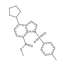 COC(=O)c1ccc(C2CCCC2)c2ccn(S(=O)(=O)c3ccc(C)cc3)c12